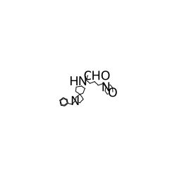 O=C[C@@H](CCCCN1CCOCC1)NC1CCC2(CC1)CCN(Cc1ccccc1)C2